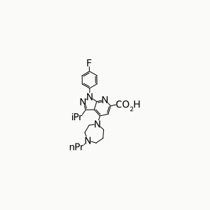 CCCN1CCCN(c2cc(C(=O)O)nc3c2c(C(C)C)nn3-c2ccc(F)cc2)CC1